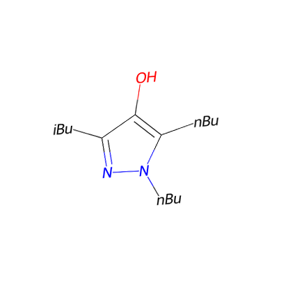 CCCCc1c(O)c(C(C)CC)nn1CCCC